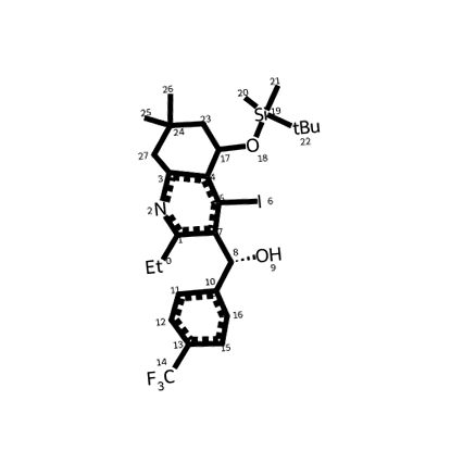 CCc1nc2c(c(I)c1[C@H](O)c1ccc(C(F)(F)F)cc1)C(O[Si](C)(C)C(C)(C)C)CC(C)(C)C2